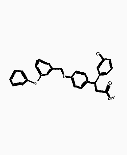 O=C(O)CC(c1ccc(OCc2cccc(Oc3ccccc3)c2)cc1)c1cccc(Cl)c1